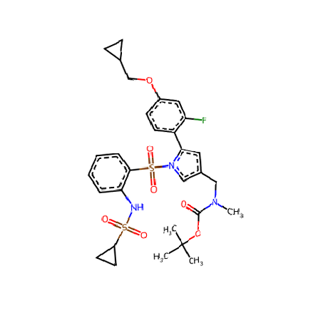 CN(Cc1cc(-c2ccc(OCC3CC3)cc2F)n(S(=O)(=O)c2ccccc2NS(=O)(=O)C2CC2)c1)C(=O)OC(C)(C)C